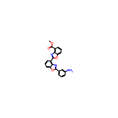 COC(=O)c1cccc2oc(-c3cccc4oc(-c5cccc(N)c5)nc34)nc12